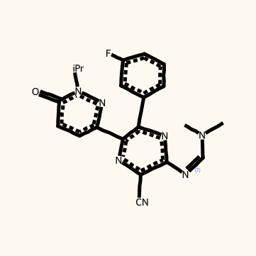 CC(C)n1nc(-c2nc(C#N)c(/N=C\N(C)C)nc2-c2cccc(F)c2)ccc1=O